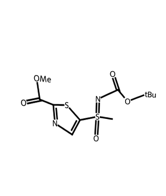 COC(=O)c1ncc(S(C)(=O)=NC(=O)OC(C)(C)C)s1